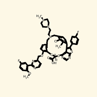 COc1ccc(F)cc1-c1nccc(COc2ccc3cc2C[C@H](C(=O)O)Oc2ncnc4sc(-c5ccc(F)cc5)c(c24)-c2ccc(c(Cl)c2C)CN(CCN2CCN(C)CC2)C3)n1